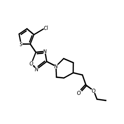 CCOC(=O)CC1CCN(c2noc(-c3sccc3Cl)n2)CC1